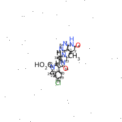 C[C@@H]1CC(=O)Nc2ncnc(N3CCN(C(=O)C(CN(C(=O)O)C4CC4)c4ccc(Cl)cc4)[C@@H]4C[C@@H]43)c21